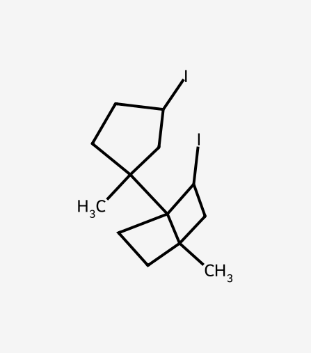 CC1(C23CCC2(C)CC3I)CCC(I)C1